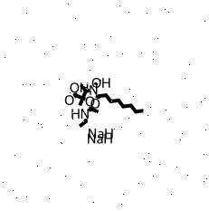 CCCCCCCC(=O)N(O)C(C)C(C)(OC(C)NCC)C(=O)O.[NaH].[NaH]